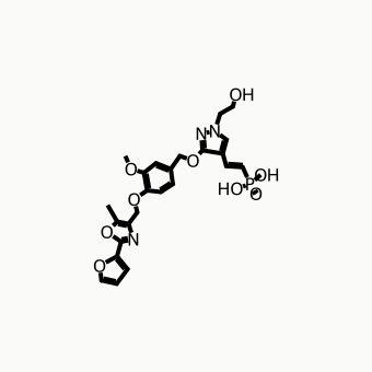 COc1cc(COc2nn(CCO)cc2C=CP(=O)(O)O)ccc1OCc1nc(-c2ccco2)oc1C